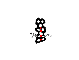 Cn1c(-c2ccc(-c3cccc4cccc(-c5ccc(-c6nc7ccccc7n6C)nc5)c34)cn2)nc2ccccc21